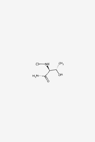 C[C@H](O)[C@H](NCl)C(N)=O